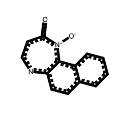 O=c1ccnc2ccc3ccccc3c2[n+]1[O-]